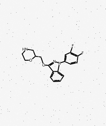 Fc1ccc(-n2nc(OCC3CNCCO3)c3ccccc32)cc1F